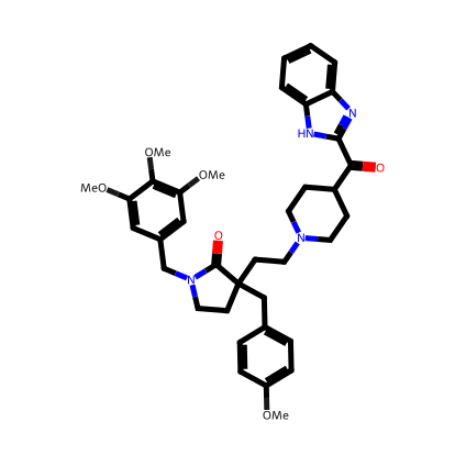 COc1ccc(CC2(CCN3CCC(C(=O)c4nc5ccccc5[nH]4)CC3)CCN(Cc3cc(OC)c(OC)c(OC)c3)C2=O)cc1